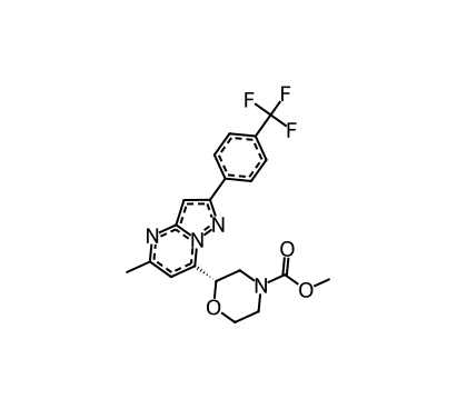 COC(=O)N1CCO[C@H](c2cc(C)nc3cc(-c4ccc(C(F)(F)F)cc4)nn23)C1